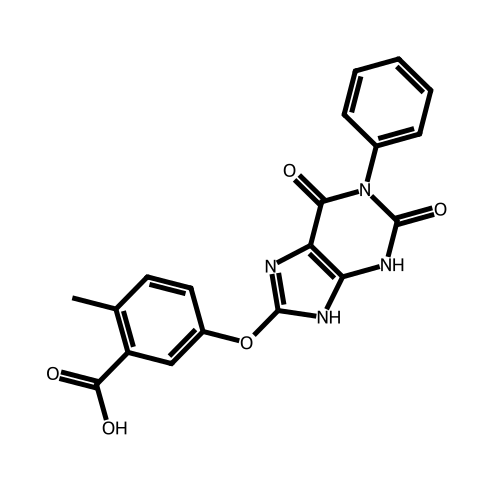 Cc1ccc(Oc2nc3c(=O)n(-c4ccccc4)c(=O)[nH]c3[nH]2)cc1C(=O)O